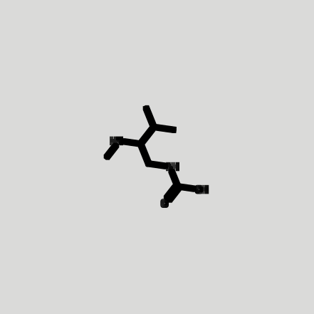 CNC(CNC(=O)O)C(C)C